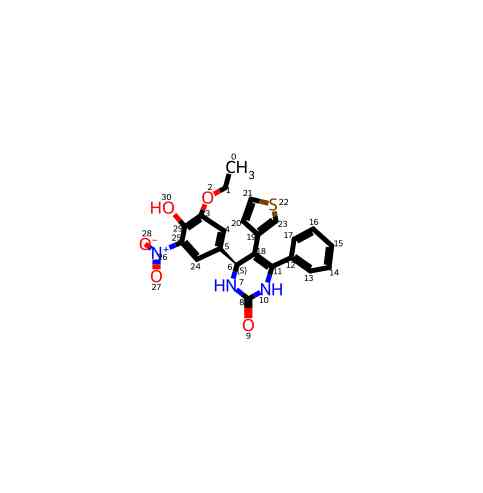 CCOc1cc([C@@H]2NC(=O)NC(c3ccccc3)=C2c2ccsc2)cc([N+](=O)[O-])c1O